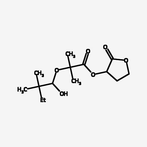 CCC(C)(C)C(O)OC(C)(C)C(=O)OC1CCOC1=O